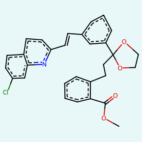 COC(=O)c1ccccc1CCC1(c2cccc(/C=C/c3ccc4ccc(Cl)cc4n3)c2)OCCO1